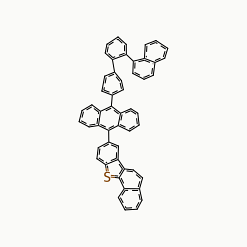 c1ccc(-c2cccc3ccccc23)c(-c2ccc(-c3c4ccccc4c(-c4ccc5sc6c7ccccc7ccc6c5c4)c4ccccc34)cc2)c1